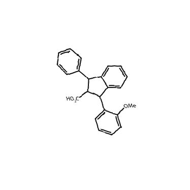 COc1ccccc1C1c2ccccc2C(c2ccccc2)C1C(=O)O